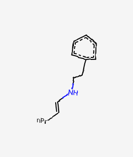 CCCC=CNCCc1ccccc1